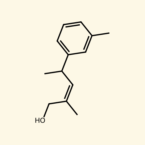 CC(=CC(C)c1cccc(C)c1)CO